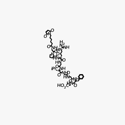 CC(C)C[C@H](NC(=O)CNC(=O)[C@H](CCCNC(=N)N)NC(=O)[C@@H]1CCCN1C(=O)CNC(=O)CCCCCN1C(=O)C=CC1=O)C(=O)NCC(=O)NCC(=O)N[C@@H](Cc1ccccc1)C(=O)NCC(=O)O